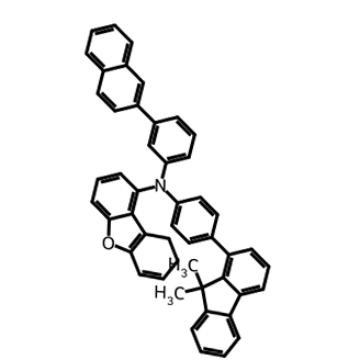 CC1(C)c2ccccc2-c2cccc(-c3ccc(N(c4cccc(-c5ccc6ccccc6c5)c4)c4cccc5oc6c(c45)CCC=C6)cc3)c21